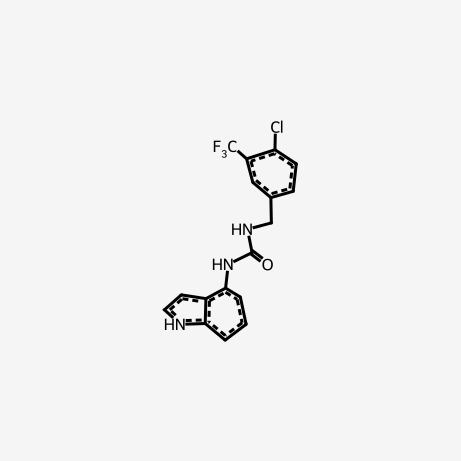 O=C(NCc1ccc(Cl)c(C(F)(F)F)c1)Nc1cccc2[nH]ccc12